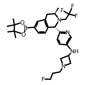 C[C@@H]1Cc2cc(B3OC(C)(C)C(C)(C)O3)ccc2[C@@H](c2ccc(NC3CN(CCCF)C3)cn2)N1CC(F)(F)F